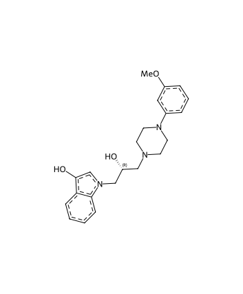 COc1cccc(N2CCN(C[C@@H](O)Cn3cc(O)c4ccccc43)CC2)c1